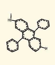 CBc1ccc2c(-c3ccccc3)c3cc(Br)ccc3c(-c3ccccc3)c2c1